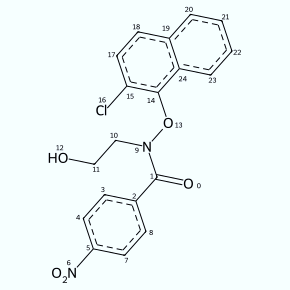 O=C(c1ccc([N+](=O)[O-])cc1)N(CCO)Oc1c(Cl)ccc2ccccc12